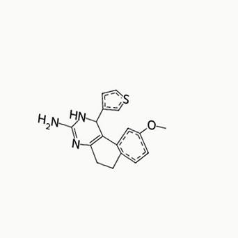 COc1ccc2c(c1)C1=C(CC2)N=C(N)NC1c1ccsc1